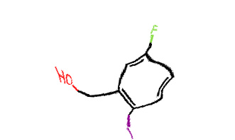 OCc1cc(F)ccc1I